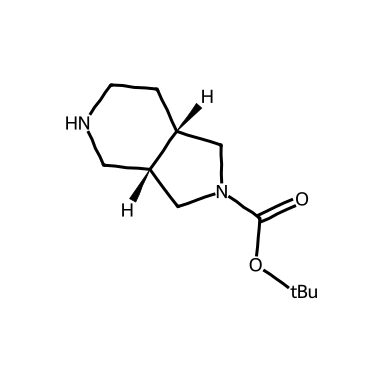 CC(C)(C)OC(=O)N1C[C@H]2CCNC[C@H]2C1